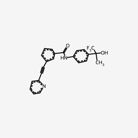 CC(O)(c1ccc(NC(=O)c2cccc(C#Cc3ccccn3)c2)cc1)C(F)(F)F